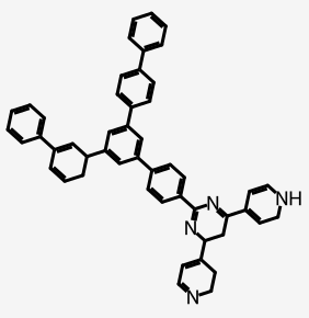 C1=CC(c2ccccc2)=CC(c2cc(-c3ccc(C4=NC(C5=CC=NCC5)CC(C5=CCNC=C5)=N4)cc3)cc(-c3ccc(-c4ccccc4)cc3)c2)C1